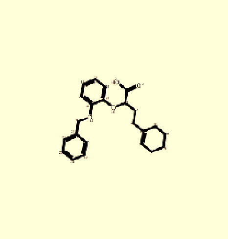 O=C(O)C(CCC1=CCCCC1)Oc1ccccc1OCc1ccccc1